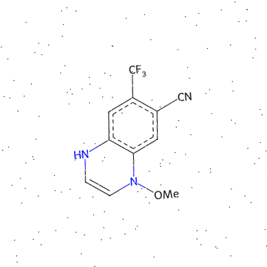 CON1C=CNc2cc(C(F)(F)F)c(C#N)cc21